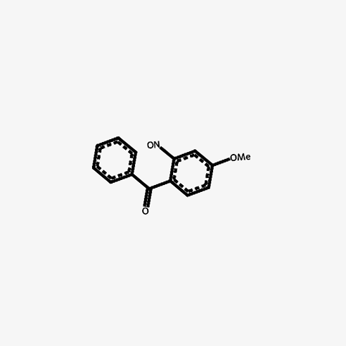 COc1ccc(C(=O)c2ccccc2)c(N=O)c1